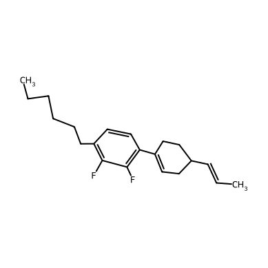 C/C=C/C1CC=C(c2ccc(CCCCCC)c(F)c2F)CC1